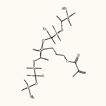 C=C(C)C(=O)OCCC[Si](C)(OC(C)(CC)[Si](C)(C)OC(C)[Si](C)(C)CCCC)C(C)O[Si](C)(C)C(C)(CC)O[Si](C)(C)CCCC